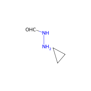 C1CC1.NNC=O